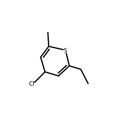 CCC1=CC(Cl)C=C(C)S1